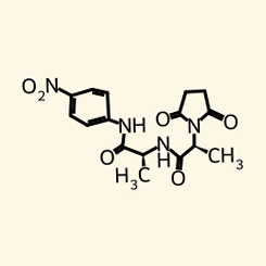 C[C@H](NC(=O)[C@H](C)N1C(=O)CCC1=O)C(=O)Nc1ccc([N+](=O)[O-])cc1